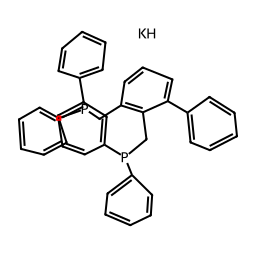 [KH].c1ccc(-c2cccc(CP(c3ccccc3)c3ccccc3)c2CP(c2ccccc2)c2ccccc2)cc1